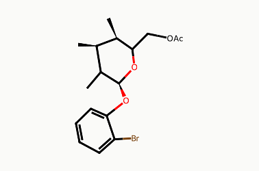 CC(=O)OCC1O[C@@H](Oc2ccccc2Br)C(C)[C@@H](C)[C@H]1C